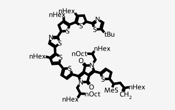 C=C(CCCCCC)CC(SC)C1CC=C(C2=C3C(=O)N(CC(CCCCCC)CCCCCCCC)C(c4ccc(-c5cc(CCCCCC)c(-c6cnc(C7CC(CCCCCC)=C(C8=C(CCCCCC)CC(c9ncc(C(C)(C)C)s9)S8)S7)s6)s5)s4)=C3C(=O)N2CC(CCCCCC)CCCCCCCC)S1